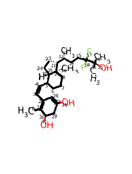 CC1=C(/C=C\C2CCC[C@]3(C)[C@@H]([C@H](C)CCC(F)(F)C(C)(C)O)CC[C@@H]23)C=C(O)C[C@H]1O